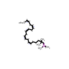 C=[PH](C)CC(C)(C)CCC/C=C\C/C=C\C/C=C\C/C=C\C/C=C\CCCCC